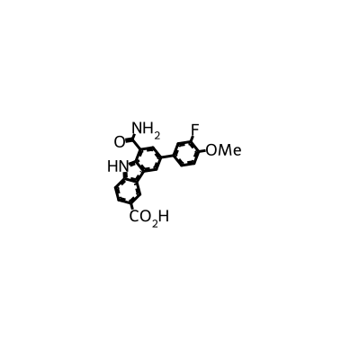 COc1ccc(-c2cc(C(N)=O)c3[nH]c4ccc(C(=O)O)cc4c3c2)cc1F